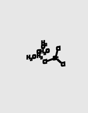 O.O.O.O.[Cl][Sc]([Cl])[Cl]